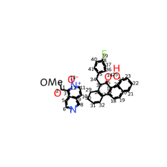 COC(=O)c1c2ccncc2cc[n+]1[O-].O=C1c2c(ccc3cccc(O)c23)C2=C(CCC=C2)C1Cc1ccc(F)cc1